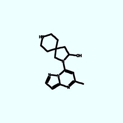 Cc1cc(N2CC3(CCNCC3)CC2O)n2nccc2n1